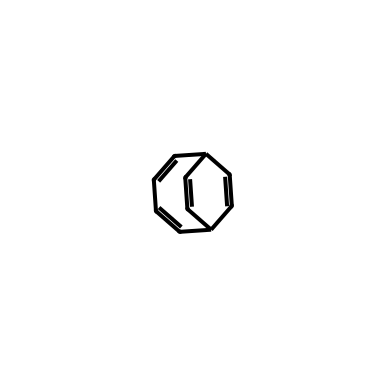 C1=CC2C=CC(C=C1)C=C2